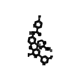 NC1=N[C@@]2(CCO1)c1cc(NC(=O)c3ccc(F)cn3)ccc1Oc1c2cc(-c2cncc(F)c2)nc1F